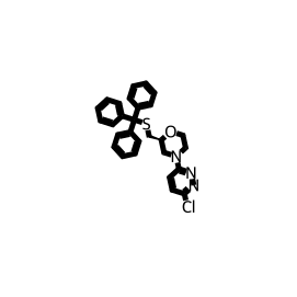 Clc1ccc(N2CCO[C@H](CSC(c3ccccc3)(c3ccccc3)c3ccccc3)C2)nn1